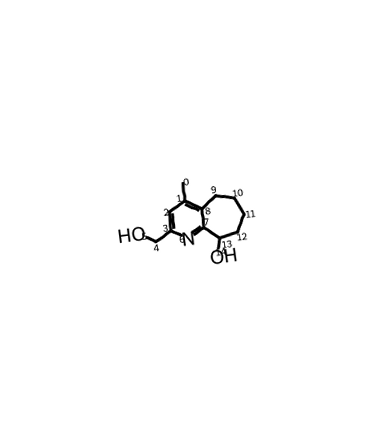 Cc1cc(CO)nc2c1CCCCC2O